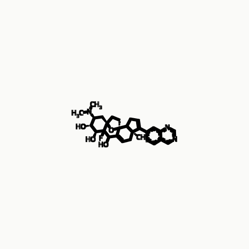 CN(C)[C@H]1C[C@@]23CC[C@@]4(O2)C(=CC[C@]2(C)C(c5ccc6cncnc6c5)=CCC24)C(O)C3(F)[C@@H](O)[C@@H]1O